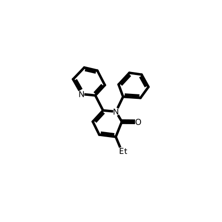 CCc1ccc(-c2ccccn2)n(-c2ccccc2)c1=O